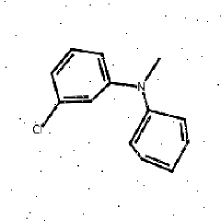 CN(c1ccccc1)c1cccc(Cl)c1